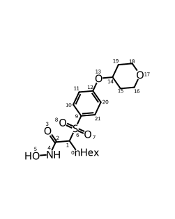 CCCCCCC(C(=O)NO)S(=O)(=O)c1ccc(OC2CCOCC2)cc1